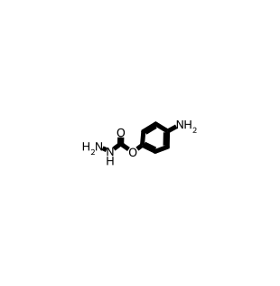 NNC(=O)Oc1ccc(N)cc1